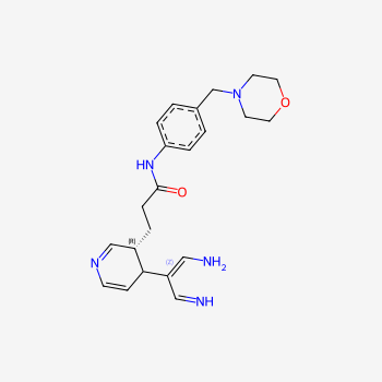 N=C/C(=C\N)C1C=CN=C[C@@H]1CCC(=O)Nc1ccc(CN2CCOCC2)cc1